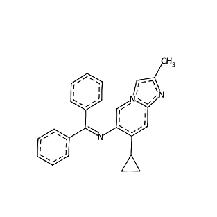 Cc1cn2cc(N=C(c3ccccc3)c3ccccc3)c(C3CC3)cc2n1